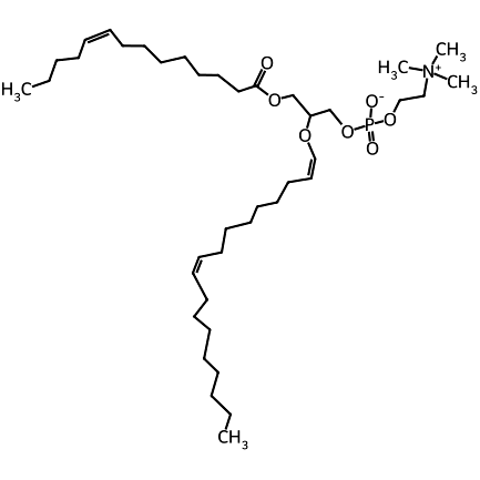 CCCC/C=C\CCCCCCCC(=O)OCC(COP(=O)([O-])OCC[N+](C)(C)C)O/C=C\CCCCCC/C=C\CCCCCCCC